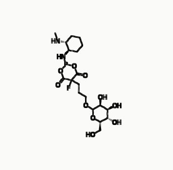 CN[C@@H]1CCCC[C@H]1NP1OC(=O)C(F)(CCCOC2O[C@H](CO)[C@@H](O)[C@H](O)[C@@H]2O)C(=O)O1